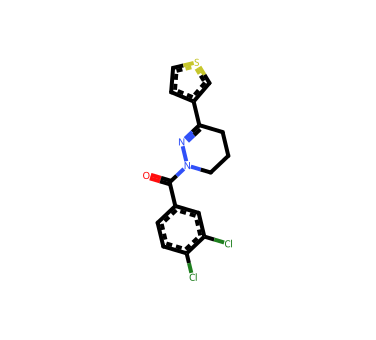 O=C(c1ccc(Cl)c(Cl)c1)N1CCCC(c2ccsc2)=N1